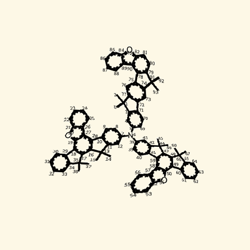 CC1(C)c2cc(N(c3ccc4c(c3)C(C)(C)c3c5c(c6oc7ccccc7c6c3-4)-c3ccccc3C5(C)C)c3ccc4c(c3)C(C)(C)c3c5c(c6oc7ccccc7c6c3-4)-c3ccccc3C5(C)C)ccc2-c2cc3c(cc21)-c1c(ccc2oc4ccccc4c12)C3(C)C